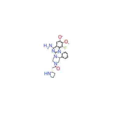 COc1cc2c(N)nc(N3CCN(C(=O)C[C@@H]4CCCN4)C[C@@H]3c3ccccc3)nc2c(F)c1OC